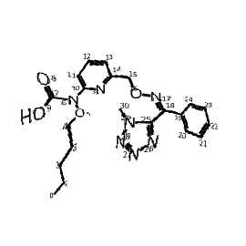 CCCCCON(C(=O)O)c1cccc(CON=C(c2ccccc2)c2nnnn2C)n1